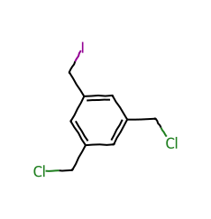 ClCc1cc(CCl)cc(CI)c1